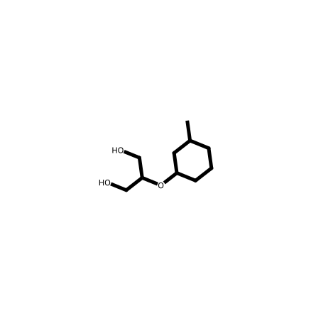 CC1CCCC(OC(CO)CO)C1